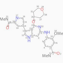 CNC(=O)c1ccc(Nc2cc3[nH]cc(-c4ccnc(C(=O)NC)c4)c3c(OC3CCOCC3)n2)c(OC)c1